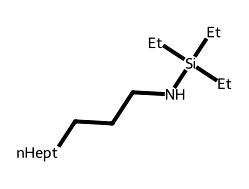 CCCCCCCCCCN[Si](CC)(CC)CC